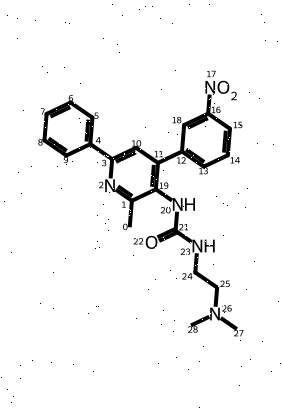 Cc1nc(-c2ccccc2)cc(-c2cccc([N+](=O)[O-])c2)c1NC(=O)NCCN(C)C